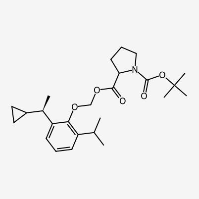 CC(C)c1cccc([C@H](C)C2CC2)c1OCOC(=O)C1CCCN1C(=O)OC(C)(C)C